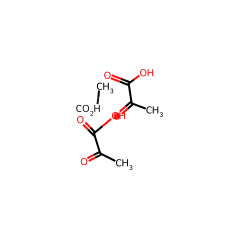 CC(=O)C(=O)O.CC(=O)C(=O)O.CC(=O)O